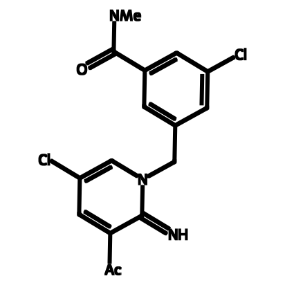 CNC(=O)c1cc(Cl)cc(Cn2cc(Cl)cc(C(C)=O)c2=N)c1